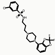 O=S(=O)(NCCCN1CCN(c2cccc3c2OC(F)(F)O3)CC1)c1cccc(Cl)c1